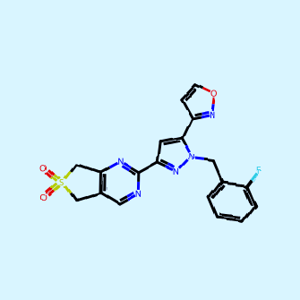 O=S1(=O)Cc2cnc(-c3cc(-c4ccon4)n(Cc4ccccc4F)n3)nc2C1